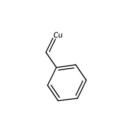 [Cu]=[CH]c1ccccc1